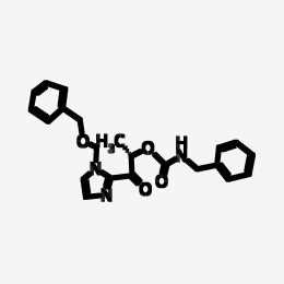 C[C@H](OC(=O)NCc1ccccc1)C(=O)c1nccn1COCc1ccccc1